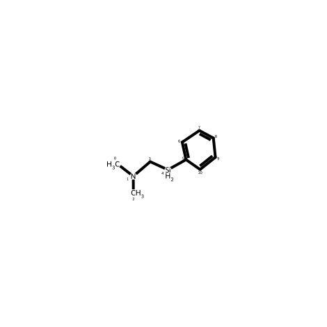 CN(C)C[SiH2]c1ccccc1